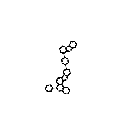 c1ccc(-c2nc3ccccc3c3c2ccc2c4cc(-c5ccc(-c6cccc7c6sc6ccccc67)cc5)ccc4sc23)cc1